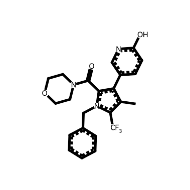 Cc1c(-c2ccc(O)nc2)c(C(=O)N2CCOCC2)n(Cc2ccccc2)c1C(F)(F)F